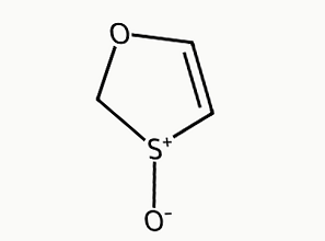 [O-][S+]1C=COC1